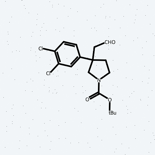 CC(C)(C)OC(=O)N1CCC(CC=O)(c2ccc(Cl)c(Cl)c2)C1